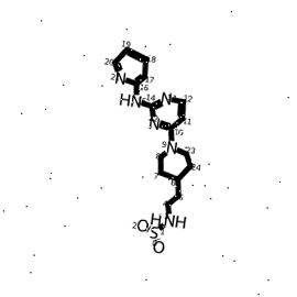 O=[SH](=O)NCCC1CCN(c2ccnc(Nc3ccccn3)n2)CC1